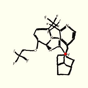 FC(F)(F)COc1ccc(C(F)(F)F)n2nc(NC3C4CCC3CN(c3ccnc(C(F)(F)F)c3)C4)nc12